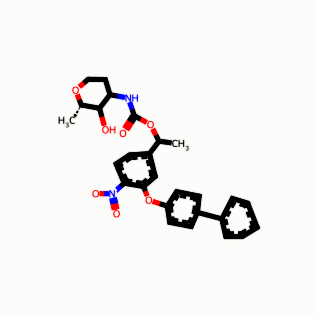 CC(OC(=O)NC1CCO[C@@H](C)C1O)c1ccc([N+](=O)[O-])c(Oc2ccc(-c3ccccc3)cc2)c1